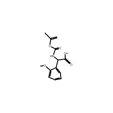 C=C(C)OC(=O)NC(C(=O)O)c1ccccc1OC